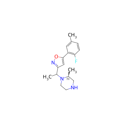 Cc1ccc(F)c(-c2cc(C(C)N3CCNC[C@@H]3C)no2)c1